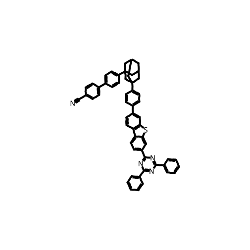 N#Cc1ccc(-c2ccc(C34CC5CC(C3)CC(c3ccc(-c6ccc7c(c6)sc6cc(-c8nc(-c9ccccc9)nc(-c9ccccc9)n8)ccc67)cc3)(C5)C4)cc2)cc1